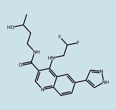 CC(O)CCNC(=O)c1cnc2ccc(-c3cn[nH]c3)cc2c1NCC(F)F